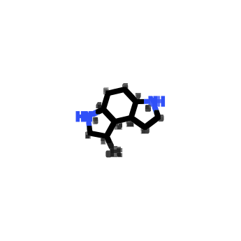 CCC1CNC2CCC3NCCC3C12